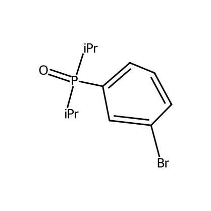 CC(C)P(=O)(c1cccc(Br)c1)C(C)C